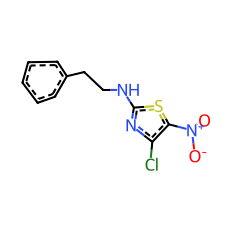 O=[N+]([O-])c1sc(NCCc2ccccc2)nc1Cl